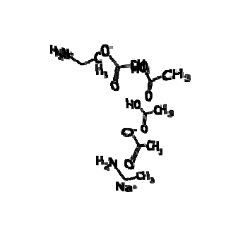 CC(=O)O.CC(=O)O.CC(=O)[O-].CC(=O)[O-].CCN.CCN.[Na+].[Na+]